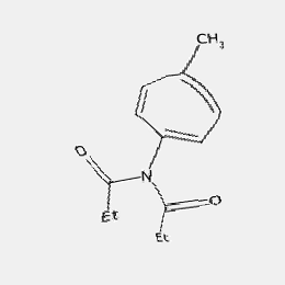 CCC(=O)N(C(=O)CC)c1ccc(C)cc1